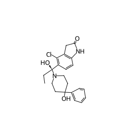 CC[C@](O)(c1ccc2c(c1Cl)CC(=O)N2)N1CCC(O)(c2ccccc2)CC1